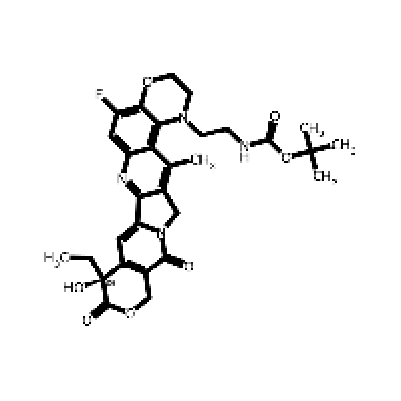 CC[C@@]1(O)C(=O)OCc2c1cc1n(c2=O)Cc2c-1nc1cc(F)c3c(c1c2C)N(CCNC(=O)OC(C)(C)C)CCO3